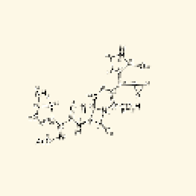 CC(=O)ON=C(C(=O)N[C@@H]1C(=O)N2C(C(=O)O)=C(C(=C3CCNC3=O)C3CC3)CS[C@H]12)c1csc(N)n1